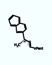 CCCCC/C=N/[C@H](C)c1ccc2ccccc2c1